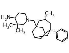 C[C@H]1CC2(CN3CC[C@H](N)C(C)(C)C3)CC3CC(C2)[C@](c2ccccc2)(C3)C1